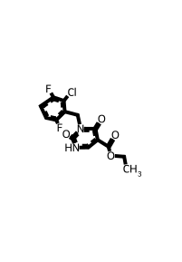 CCOC(=O)c1c[nH]c(=O)n(Cc2c(F)ccc(F)c2Cl)c1=O